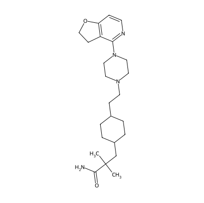 CC(C)(CC1CCC(CCN2CCN(c3nccc4c3CCO4)CC2)CC1)C(N)=O